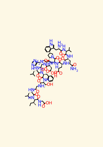 CC[C@H](C)[C@H](NC(=O)[C@H](CC(C)C)NC(=O)CNC(=O)[C@@H](NC(=O)[C@H](Cc1ccccc1)NC(=O)[C@H](CC(C)C)NC(=O)[C@H](Cc1c[nH]cn1)NC(=O)[C@H](CC(=O)O)NC(=O)[C@@H]1CCCN1C(=O)[C@H](CCCCN)NC(=O)[C@H](CCC(=O)O)NC(=O)[C@H](CCC(N)=O)NC(=O)[C@@H](NC(=O)[C@@H](N)Cc1c[nH]c2ccccc12)C(C)C)[C@@H](C)O)C(=O)NCC(=O)O